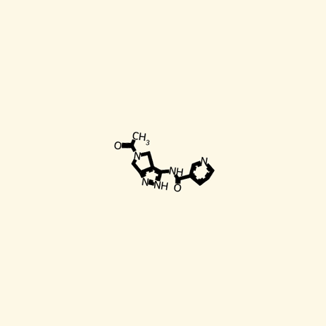 CC(=O)N1Cc2n[nH]c(NC(=O)c3cccnc3)c2C1